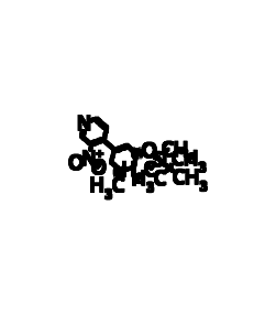 C[C@H]1CC(c2ccncc2[N+](=O)[O-])=C[C@@H](O[Si](C)(C)C(C)(C)C)C1